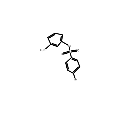 Nc1cccc(NS(=O)(=O)c2ccc(Br)cc2)c1